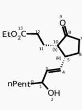 CCCCCC(O)C=C[C@H]1CCC(=O)[C@H]1CCC(=O)OCC